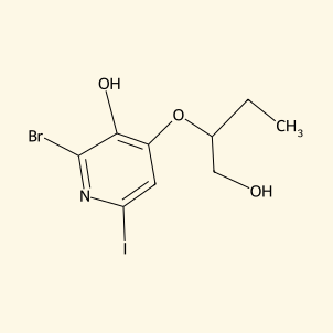 CCC(CO)Oc1cc(I)nc(Br)c1O